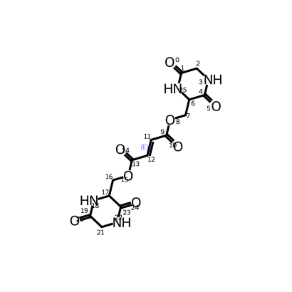 O=C1CNC(=O)C(COC(=O)/C=C/C(=O)OCC2NC(=O)CNC2=O)N1